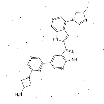 Cc1cn(-c2cncc3[nH]c(-c4n[nH]c5ncc(-c6cncc(N7CC(N)C7)n6)cc45)cc23)cn1